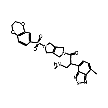 CNCC(C(=O)N1CC2=C(C1)CN(S(=O)(=O)c1ccc3c(c1)OCCO3)C2)c1ccc(C)c2nsnc12